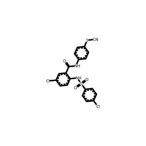 N#CSc1ccc(NC(=O)c2cc(Cl)ccc2NS(=O)(=O)c2ccc(Cl)cc2)cc1